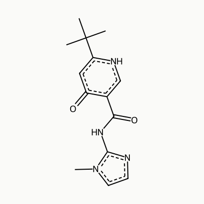 Cn1ccnc1NC(=O)c1c[nH]c(C(C)(C)C)cc1=O